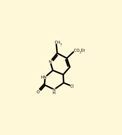 CCOC(=O)C1=CC2C(Cl)NC(=O)NC2N=C1C